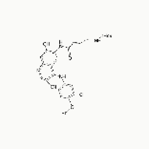 CCCCCCNC/C=C/C(=O)Nc1cc2c(Nc3ccc(OCC)c(Cl)c3)c(C#N)cnc2cc1O